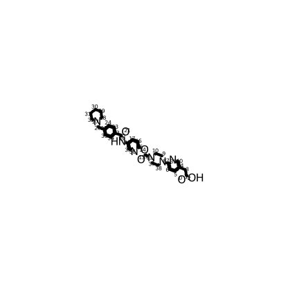 O=C(O)Cc1ccc(N2CCN(C(=O)Oc3ccc(NC(=O)c4ccc(CN5CCCCC5)cc4)cn3)CC2)nc1